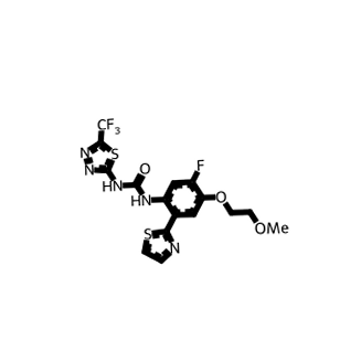 COCCOc1cc(-c2nccs2)c(NC(=O)Nc2nnc(C(F)(F)F)s2)cc1F